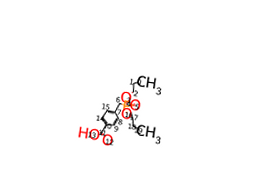 CCCOP(=O)(Cc1ccc(C(=O)O)cc1)OCCC